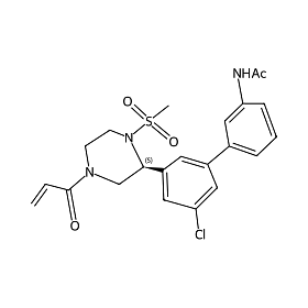 C=CC(=O)N1CCN(S(C)(=O)=O)[C@@H](c2cc(Cl)cc(-c3cccc(NC(C)=O)c3)c2)C1